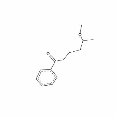 COC(C)CCCC(=O)c1ccccc1